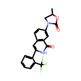 CC1CN(c2ccc3cc(-c4ccccc4C(F)(F)F)[nH]c(=O)c3c2)C(=O)O1